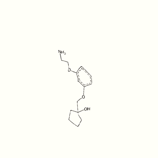 NCCOc1cccc(OCC2(O)CCCC2)c1